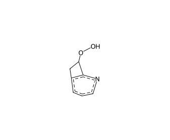 OOC1Cc2cccnc21